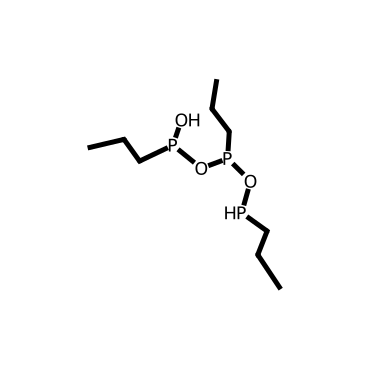 CCCPOP(CCC)OP(O)CCC